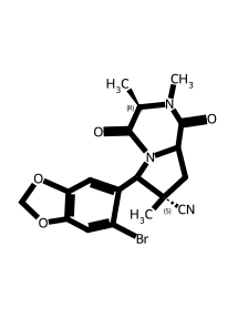 C[C@@H]1C(=O)N2C(C[C@](C)(C#N)C2c2cc3c(cc2Br)OCO3)C(=O)N1C